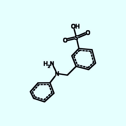 NN(Cc1cccc(S(=O)(=O)O)c1)c1ccccc1